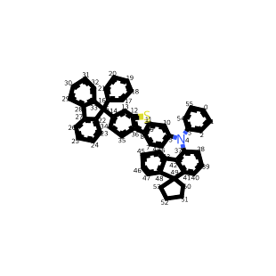 c1ccc(N(c2ccc3c(c2)sc2cc(C4(c5ccccc5)c5ccccc5-c5ccccc54)ccc23)c2cccc3c2-c2ccccc2C32CCCC2)cc1